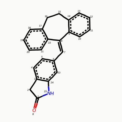 O=C1Cc2ccc(C=C3c4ccccc4CCc4ccccc43)cc2N1